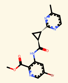 COC(=O)c1ncc(Br)cc1NC(=O)[C@H]1C[C@@H]1c1nccc(C)n1